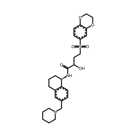 O=C(N[C@@H]1CCCc2cc(CN3CCCCC3)ccc21)C(O)CCS(=O)(=O)c1ccc2c(c1)OCCO2